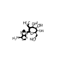 CCC1C(n2cnc3c(N)ncnc32)O[C@H](CO)[C@@H](O)[C@@H](O)[C@H]1O